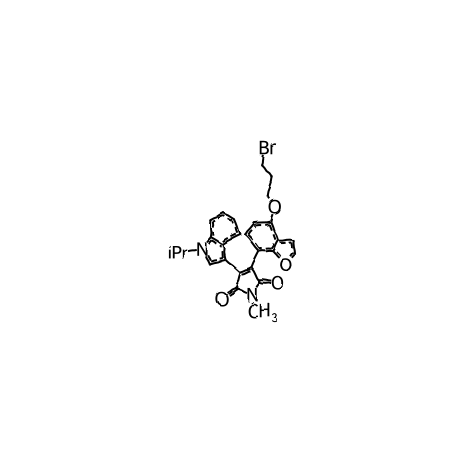 CC(C)n1cc(C2=C(c3ccc(OCCCBr)c4ccoc34)C(=O)N(C)C2=O)c2ccccc21